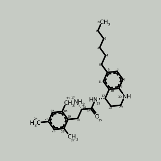 CCCCCCc1ccc2c(c1)[C@@H](NC(=O)[C@@H](N)Cc1c(C)cc(C)cc1C)CCN2